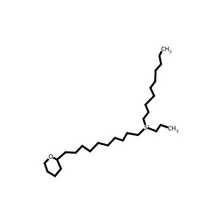 CCCCCCCCCC[S+](CCC)CCCCCCCCCCC1CCCCO1